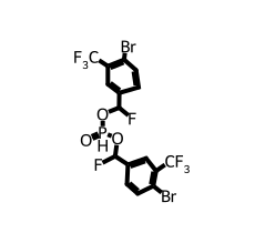 O=[PH](OC(F)c1ccc(Br)c(C(F)(F)F)c1)OC(F)c1ccc(Br)c(C(F)(F)F)c1